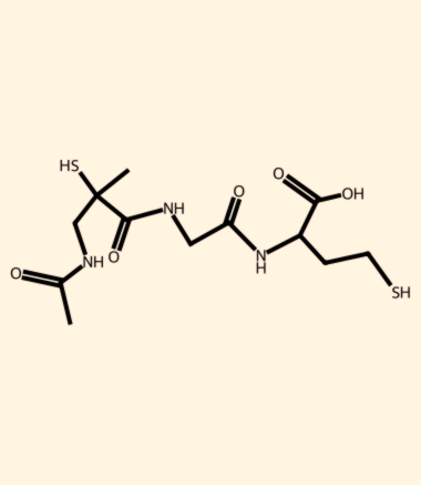 CC(=O)NCC(C)(S)C(=O)NCC(=O)NC(CCS)C(=O)O